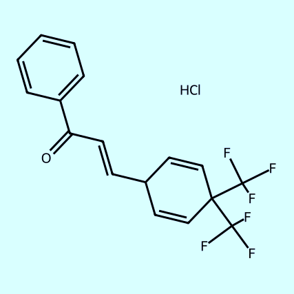 Cl.O=C(/C=C/C1C=CC(C(F)(F)F)(C(F)(F)F)C=C1)c1ccccc1